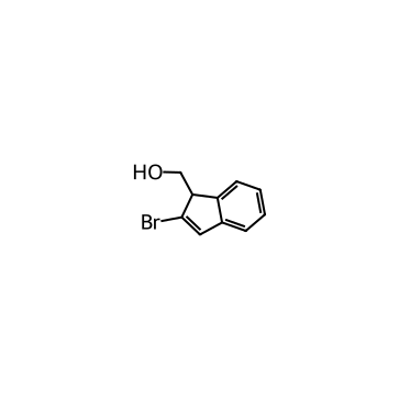 OCC1C(Br)=Cc2ccccc21